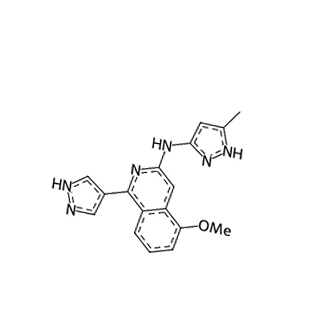 COc1cccc2c(-c3cn[nH]c3)nc(Nc3cc(C)[nH]n3)cc12